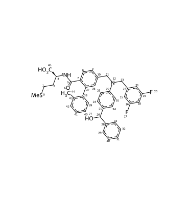 CSCC[C@H](NC(=O)c1ccc(CN(Cc2cc(F)cc(F)c2)c2ccc(C(O)c3ccccc3)cc2)cc1-c1ccccc1C)C(=O)O